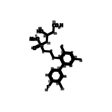 COP(=O)(CCCc1c(C)cc(C)cc1-c1ccc(F)c(C)c1)CC(O)CC(=O)O